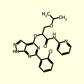 CC(C)OCC(Oc1nc(-c2ccccc2Cl)nc2[nH]ncc12)C(=O)Nc1ccccn1